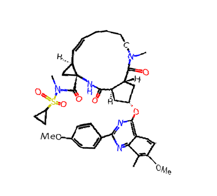 COc1ccc(-c2nc(O[C@@H]3C[C@H]4C(=O)N[C@]5(C(=O)N(C)S(=O)(=O)C6CC6)C[C@H]5/C=C\CCCCN(C)C(=O)[C@@H]4C3)c3ccc(OC)c(C)c3n2)cc1